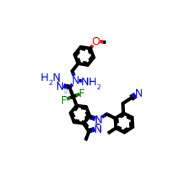 COc1ccc(CN(N)/C(=N\N)C(F)(F)c2ccc3c(C)nn(Cc4c(C)cccc4CC#N)c3c2)cc1